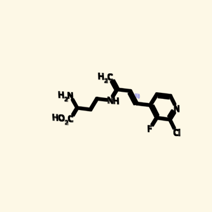 C=C(/C=C/c1ccnc(Cl)c1F)NCCC(N)C(=O)O